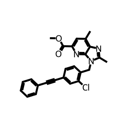 COC(=O)c1cc(C)c2nc(C)n(Cc3ccc(C#Cc4ccccc4)cc3Cl)c2n1